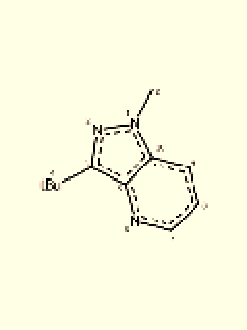 Cn1nc(C(C)(C)C)c2ncccc21